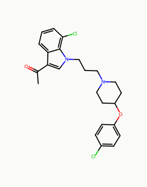 CC(=O)c1cn(CCCN2CCC(Oc3ccc(Cl)cc3)CC2)c2c(Cl)cccc12